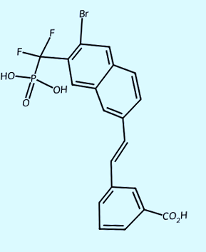 O=C(O)c1cccc(C=Cc2ccc3cc(Br)c(C(F)(F)P(=O)(O)O)cc3c2)c1